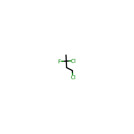 CC(F)(Cl)CCCl